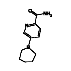 NC(=O)c1ccc(N2CCCCC2)cn1